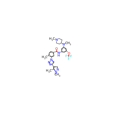 Cc1ccc(C(=O)Nc2cc(OC(F)(F)F)cc(N(C)C3CCN(C)CC3)c2)cc1-n1cc(-c2cnn(C)c2C)nn1